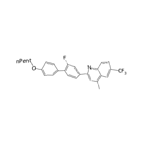 CCCCCOc1ccc(-c2ccc(-c3cc(C)c4cc(C(F)(F)F)ccc4n3)cc2F)cc1